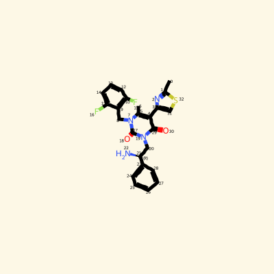 Cc1nc(-c2c(C)n(Cc3c(F)cccc3F)c(=O)n(C[C@H](N)c3ccccc3)c2=O)cs1